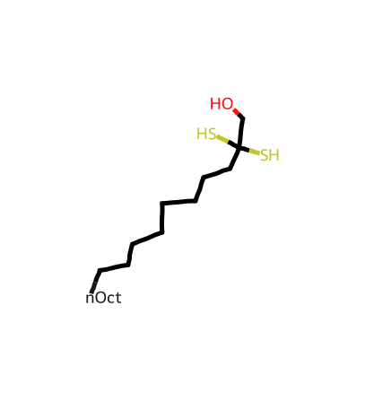 CCCCCCCCCCCCCCCCC(S)(S)CO